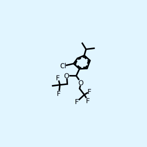 CC(C)c1ccc(C(OCC(C)(F)F)OCC(F)(F)F)c(Cl)c1